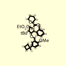 CCOC(=O)[C@@H]1[C@@H](C(C)(C)C)[C@H](OCc2cc(C3(C)CCC3)ccc2OC)[C@H](c2ccccc2C)N1C(=O)[C@@H]1CCCCO1